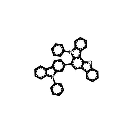 c1ccc(-n2c3ccccc3c3ccc(-c4cc5c6ccccc6oc5c5c6ccccc6n(-c6ccccc6)c45)cc32)cc1